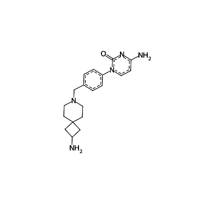 Nc1ccn(-c2ccc(CN3CCC4(CC3)CC(N)C4)cc2)c(=O)n1